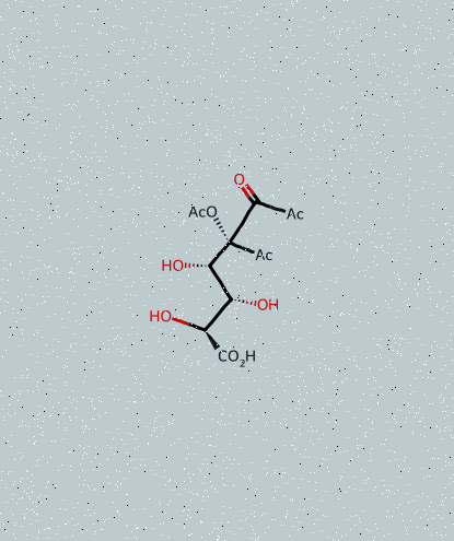 CC(=O)O[C@@](C(C)=O)(C(=O)C(C)=O)[C@@H](O)[C@H](O)[C@H](O)C(=O)O